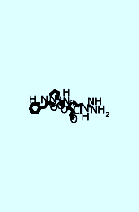 N=C(N)NCCC[C@H](NC(=O)[C@@H]1CCCN1C(=O)[C@H](N)Cc1ccccc1)C(=O)C(Cl)C=O